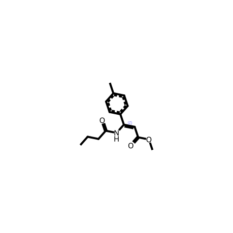 CCCC(=O)N/C(=C\C(=O)OC)c1ccc(C)cc1